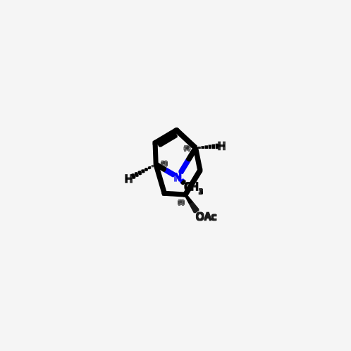 CC(=O)O[C@H]1C[C@H]2C=C[C@@H](C1)N2C